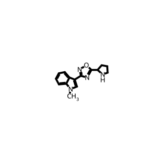 Cn1cc(-c2noc(C3CCCN3)n2)c2ccccc21